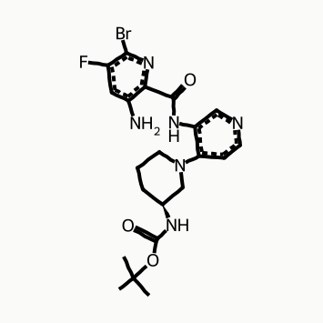 CC(C)(C)OC(=O)N[C@H]1CCCN(c2ccncc2NC(=O)c2nc(Br)c(F)cc2N)C1